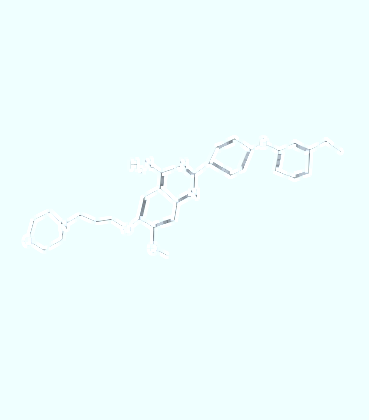 CCc1cccc(Oc2ccc(-c3nc(N)c4cc(OCCCN5CCOCC5)c(OC)cc4n3)cc2)c1